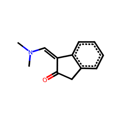 CN(C)C=C1C(=O)Cc2ccccc21